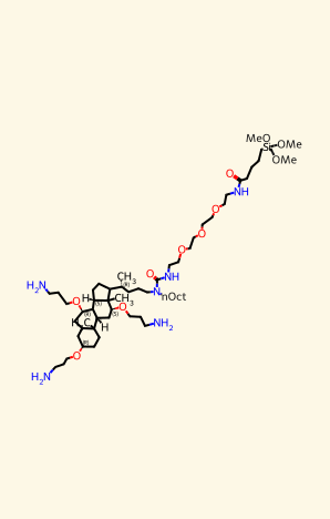 CCCCCCCCN(CCC[C@@H](C)C1CC[C@H]2C3[C@H](OCCCN)CC4C[C@H](OCCCN)CCC4(C)[C@H]3C[C@H](OCCCN)C12C)C(=O)NCCOCCOCCOCCNC(=O)CCCC[Si](OC)(OC)OC